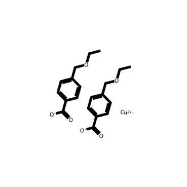 CCOCc1ccc(C(=O)[O-])cc1.CCOCc1ccc(C(=O)[O-])cc1.[Cu+2]